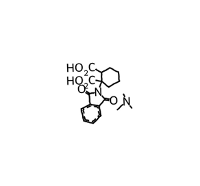 CN(C)C.O=C(O)C1CCCCC1(C(=O)O)N1C(=O)c2ccccc2C1=O